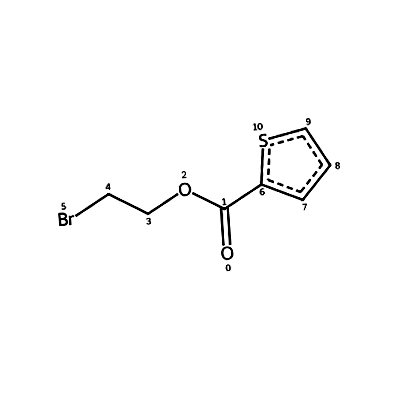 O=C(OCCBr)c1cccs1